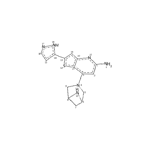 Nc1cc(N2CC3CC(C2)N3)c2sc(-c3ccn[nH]3)cc2n1